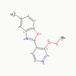 Cc1ccc2oc(-c3ccncc3OCC(C)(C)C)nc2c1